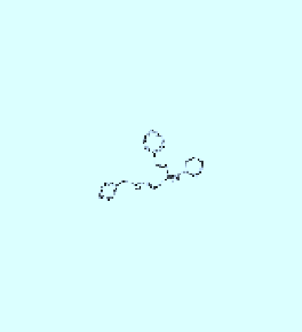 C(=CC(=Nc1ccccc1)SCc1ccccc1)SCc1ccccc1